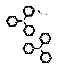 CCCCCCC.c1ccc(P(c2ccccc2)c2ccccc2)cc1.c1ccc(P(c2ccccc2)c2ccccc2)cc1